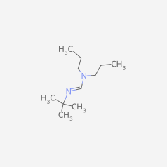 CCCN(/C=N/C(C)(C)C)CCC